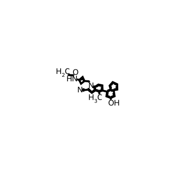 C=CC(=O)NC12CC(Cn3c(C#N)cc4c(C)c(-c5cc(O)cc6ccccc56)ccc43)(C1)C2